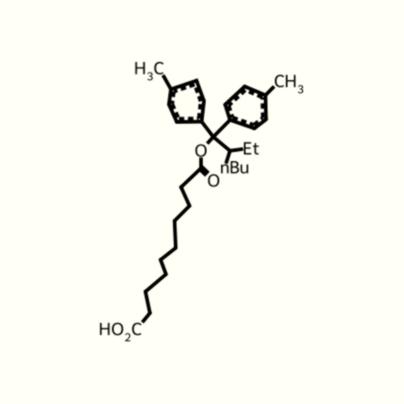 CCCCC(CC)C(OC(=O)CCCCCCCCC(=O)O)(c1ccc(C)cc1)c1ccc(C)cc1